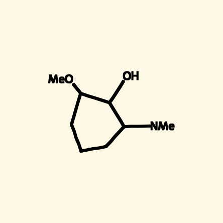 CNC1CCCC(OC)C1O